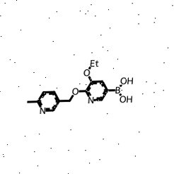 CCOc1cc(B(O)O)cnc1OCc1ccc(C)nc1